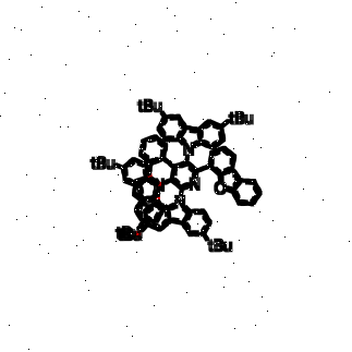 CC(C)(C)c1ccc2c(c1)c1cc(C(C)(C)C)ccc1n2-c1nc(-c2cccc3c2oc2ccccc23)c(-n2c3ccc(C(C)(C)C)cc3c3cc(C(C)(C)C)ccc32)c(-c2ccccc2-c2ccncc2)c1-n1c2ccc(C(C)(C)C)cc2c2cc(C(C)(C)C)ccc21